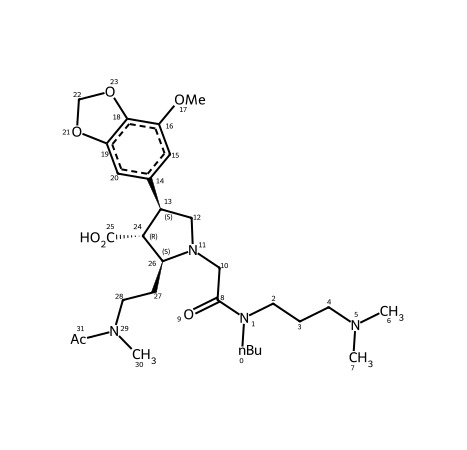 CCCCN(CCCN(C)C)C(=O)CN1C[C@H](c2cc(OC)c3c(c2)OCO3)[C@@H](C(=O)O)[C@@H]1CCN(C)C(C)=O